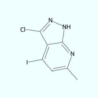 Cc1cc(I)c2c(Cl)n[nH]c2n1